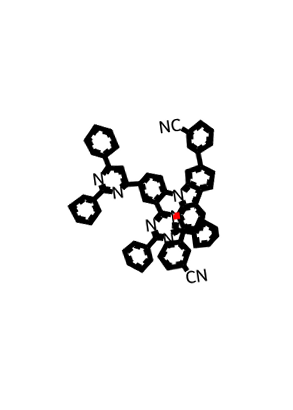 N#Cc1cccc(-c2ccc3c4ccc(-c5cccc(C#N)c5)cc4n(-c4ccc(-c5cc(-c6ccccc6)nc(-c6ccccc6)n5)cc4-c4nc(-c5ccccc5)nc(-c5ccccc5)n4)c3c2)c1